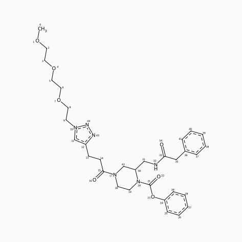 COCCOCCOCCn1cc(CCC(=O)N2CCN(C(=O)Oc3ccccc3)C(CNC(=O)Cc3ccccc3)C2)nn1